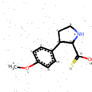 COc1ccc(C2CCNC2C(O)=S)cc1